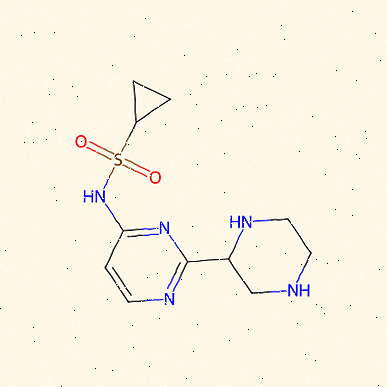 O=S(=O)(Nc1ccnc(C2CNCCN2)n1)C1CC1